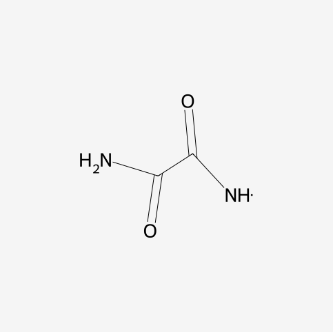 [NH]C(=O)C(N)=O